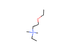 CCOCC[N+](C)(C)CC